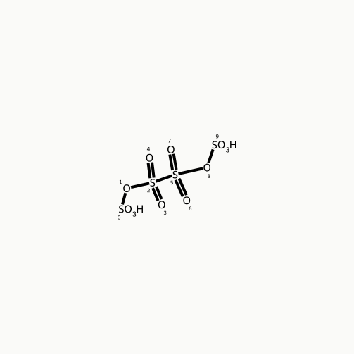 O=S(=O)(O)OS(=O)(=O)S(=O)(=O)OS(=O)(=O)O